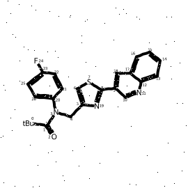 CC(C)(C)C(=O)N(Cc1csc(-c2cnc3ccccc3c2)n1)c1ccc(F)cc1